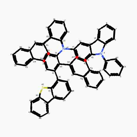 c1ccc(-n2c3ccccc3c3cc(N(c4ccccc4-c4ccc5ccccc5c4)c4cccc(-c5cccc6c5sc5ccccc56)c4-c4ccc5ccccc5c4)ccc32)cc1